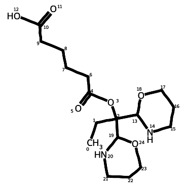 CCC(OC(=O)CCCCC(=O)O)(C1NCCCO1)C1NCCCO1